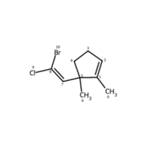 CC1=CCCC1(C)C=C(Cl)Br